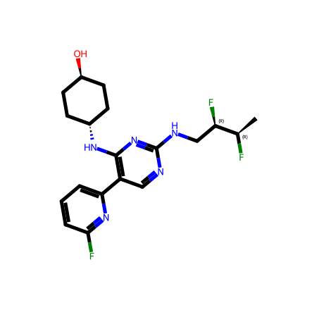 C[C@@H](F)[C@H](F)CNc1ncc(-c2cccc(F)n2)c(N[C@H]2CC[C@H](O)CC2)n1